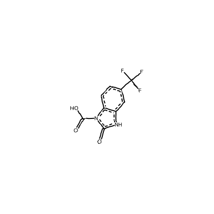 O=C(O)n1c(=O)[nH]c2cc(C(F)(F)F)ccc21